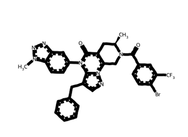 C[C@@H]1Cc2c(n3ncc(Cc4ccccc4)c3n(-c3ccc4c(c3)nnn4C)c2=O)CN1C(=O)c1ccc(Br)c(C(F)(F)F)c1